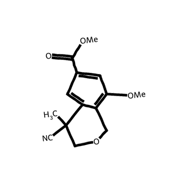 COC(=O)c1cc(OC)c2c(c1)C(C)(C#N)COC2